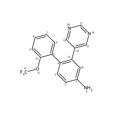 Nc1ccc(-c2ccccc2OC(F)(F)F)c(-c2cncnc2)c1